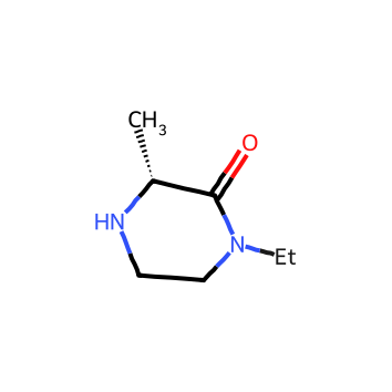 CCN1CCN[C@H](C)C1=O